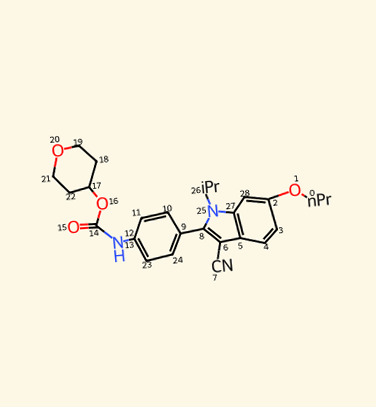 CCCOc1ccc2c(C#N)c(-c3ccc(NC(=O)OC4CCOCC4)cc3)n(C(C)C)c2c1